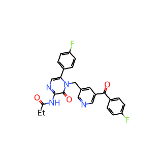 CCC(=O)Nc1ncc(-c2ccc(F)cc2)n(Cc2cncc(C(=O)c3ccc(F)cc3)c2)c1=O